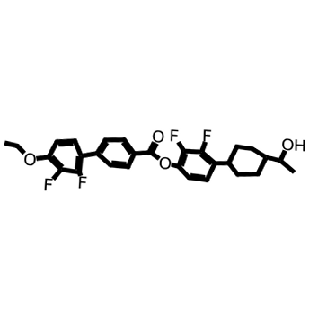 CCOc1ccc(-c2ccc(C(=O)Oc3ccc(C4CCC(C(C)O)CC4)c(F)c3F)cc2)c(F)c1F